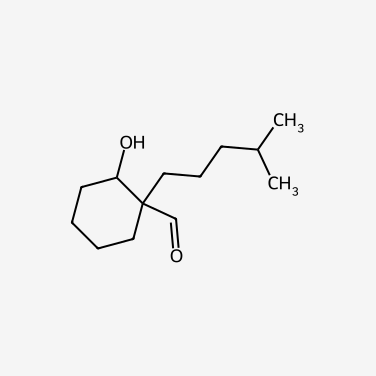 CC(C)CCCC1(C=O)CCCCC1O